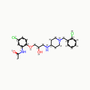 CC(=O)Nc1cc(Cl)ccc1OCC(O)CNC1CCN(Cc2ccccc2Cl)CC1